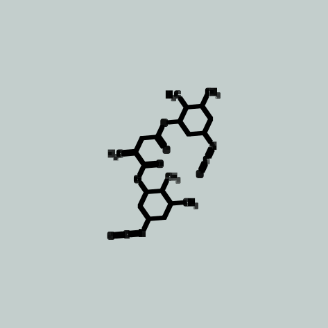 C=C(CC(=O)OC1CC(N=C=O)CC(C)C1C)C(=O)OC1CC(N=C=O)CC(C)C1C